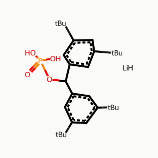 CC(C)(C)c1cc(C(OP(=O)(O)O)c2cc(C(C)(C)C)cc(C(C)(C)C)c2)cc(C(C)(C)C)c1.[LiH]